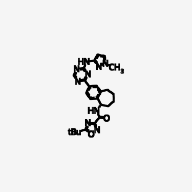 Cn1ccc(Nc2ncnc(-c3ccc4c(c3)CCCC[C@H]4NC(=O)c3noc(C(C)(C)C)n3)n2)n1